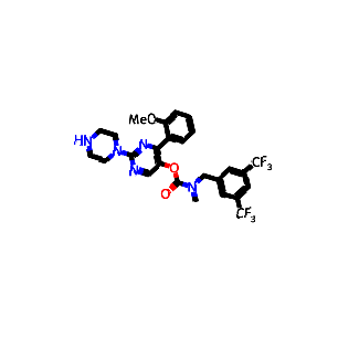 COc1ccccc1-c1nc(N2CCNCC2)ncc1OC(=O)N(C)Cc1cc(C(F)(F)F)cc(C(F)(F)F)c1